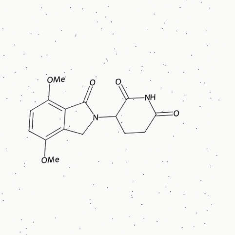 COc1ccc(OC)c2c1CN(C1CCC(=O)NC1=O)C2=O